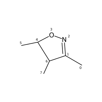 CC1=NOC(C)C1C